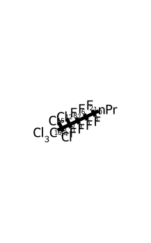 CCCC(F)(F)C(F)(F)C(F)(F)C(F)(Cl)C(Cl)(Cl)C(Cl)(Cl)Cl